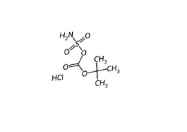 CC(C)(C)OC(=O)OS(N)(=O)=O.Cl